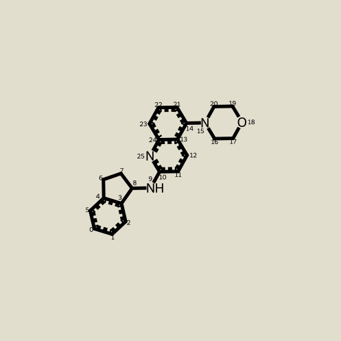 c1ccc2c(c1)CCC2Nc1ccc2c(N3CCOCC3)cccc2n1